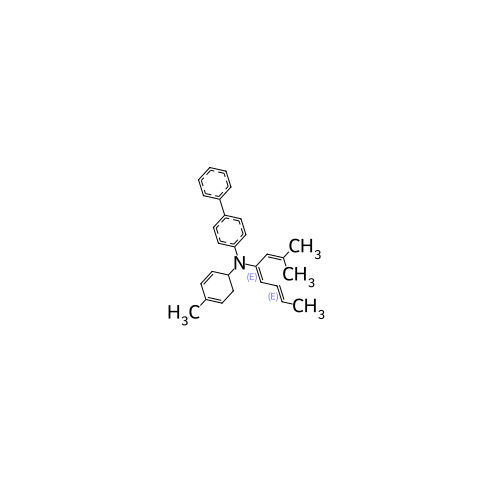 C/C=C/C=C(\C=C(C)C)N(c1ccc(-c2ccccc2)cc1)C1C=CC(C)=CC1